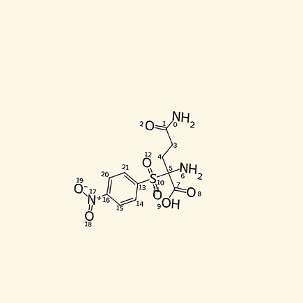 NC(=O)CCC(N)(C(=O)O)S(=O)(=O)c1ccc([N+](=O)[O-])cc1